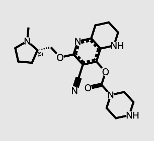 CN1CCC[C@H]1COc1nc2c(c(OC(=O)N3CCNCC3)c1C#N)NCCC2